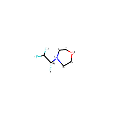 FC(F)[C@@H](F)N1CCOCC1